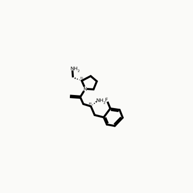 C=C(C[C@H](N)Cc1ccccc1F)N1CCC[C@H]1CN